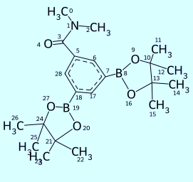 CN(C)C(=O)c1cc(B2OC(C)(C)C(C)(C)O2)cc(B2OC(C)(C)C(C)(C)O2)c1